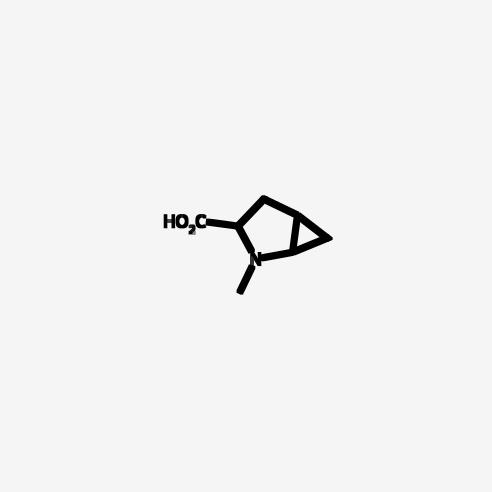 CN1C(C(=O)O)CC2CC21